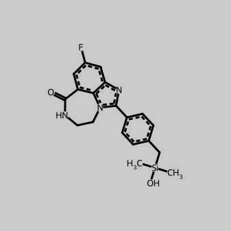 C[Si](C)(O)Cc1ccc(-c2nc3cc(F)cc4c3n2CCNC4=O)cc1